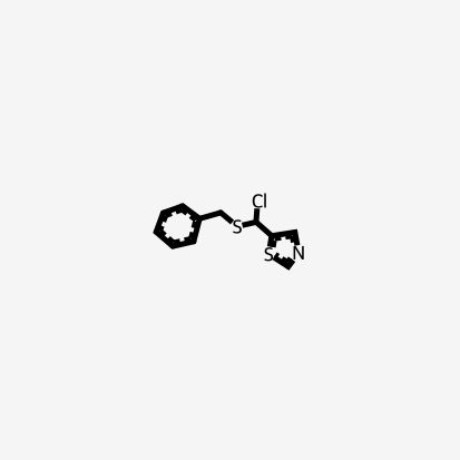 ClC(SCc1ccccc1)c1cncs1